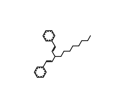 CCCCCCCC[C](C=Cc1ccccc1)C=Cc1ccccc1